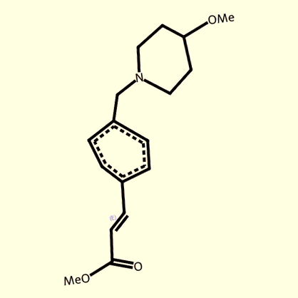 COC(=O)/C=C/c1ccc(CN2CCC(OC)CC2)cc1